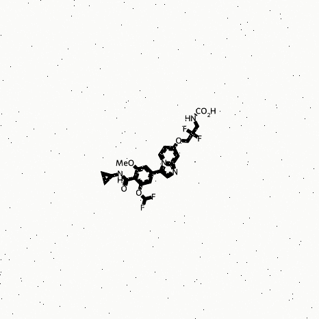 COc1cc(-c2cnc3cc(OCC(F)(F)CNC(=O)O)ccn23)cc(OC(F)F)c1C(=O)NC1CC1